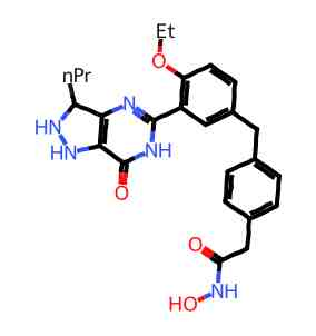 CCCC1NNc2c1nc(-c1cc(Cc3ccc(CC(=O)NO)cc3)ccc1OCC)[nH]c2=O